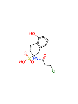 O=C(CCCl)NC1(S(=O)(=O)O)C=Cc2c(O)cccc2C1